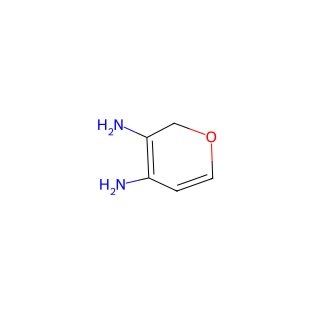 NC1=C(N)COC=C1